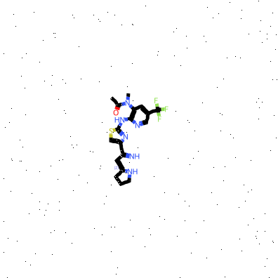 CC(=O)N(C)c1cc(C(F)(F)F)cnc1Nc1nc(C(=N)/C=C2/CCCN2)cs1